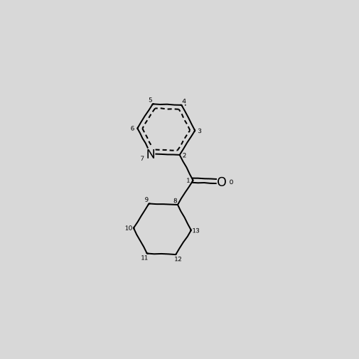 O=C(c1c[c]ccn1)C1CCCCC1